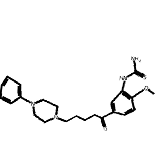 COc1ccc(C(=O)CCCCN2CCN(c3ccccc3)CC2)cc1NC(N)=S